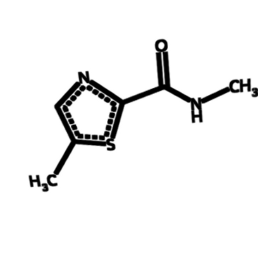 CNC(=O)c1ncc(C)s1